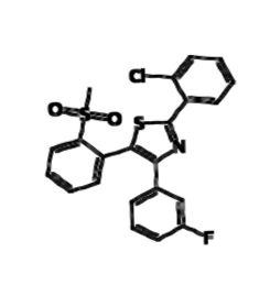 CS(=O)(=O)c1ccccc1-c1sc(-c2ccccc2Cl)nc1-c1cccc(F)c1